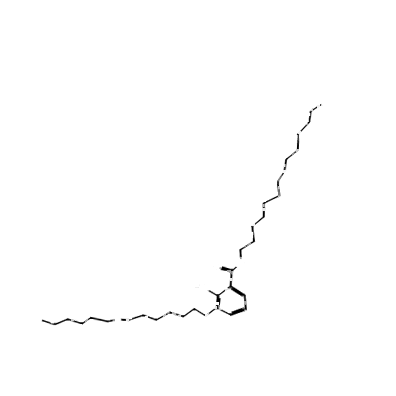 CCCCCCCCCCCCCCOC(=O)c1cccc(CCCCCCCCCCCCCC)c1O